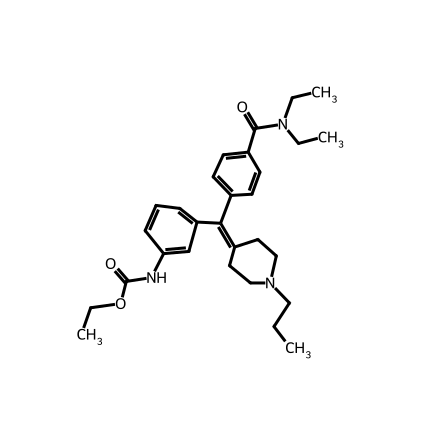 CCCN1CCC(=C(c2ccc(C(=O)N(CC)CC)cc2)c2cccc(NC(=O)OCC)c2)CC1